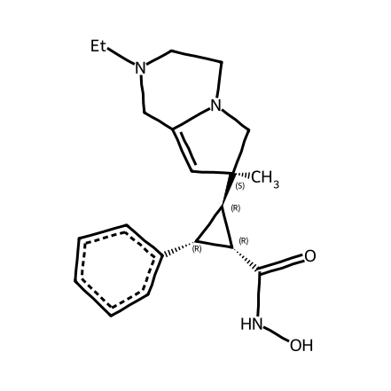 CCN1CCN2C[C@@](C)([C@H]3[C@H](C(=O)NO)[C@@H]3c3ccccc3)C=C2C1